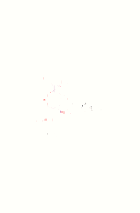 O=P([O-])([O-])OP(=O)([O-])O[O-].[Cs+].[Cs+].[Cs+].[Cs+]